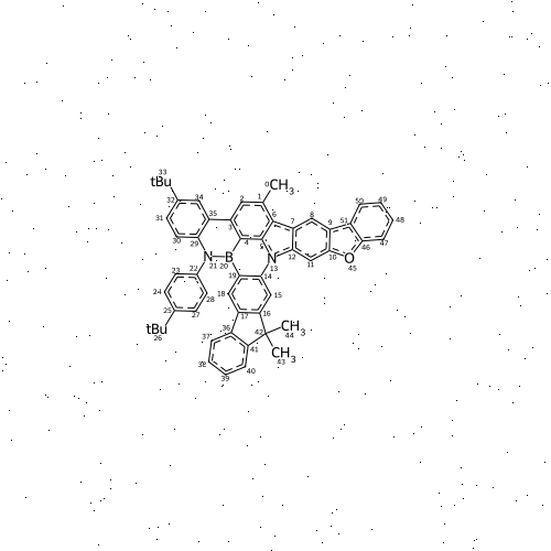 Cc1cc2c3c4c1c1cc5c(cc1n4-c1cc4c(cc1B3N(c1ccc(C(C)(C)C)cc1)c1ccc(C(C)(C)C)cc1-2)-c1ccccc1C4(C)C)oc1ccccc15